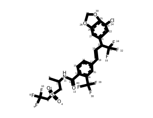 CC(CS(=O)(=O)CC(F)(F)F)NC(=O)c1ccc(/C=C/C(c2cc(Cl)c3c(c2)OCO3)C(F)(F)F)cc1C(F)(F)F